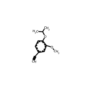 C#Cc1ccc(OC(C)C)c(OC)c1